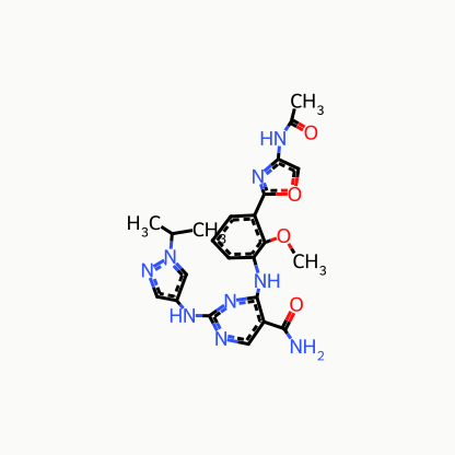 COc1c(Nc2nc(Nc3cnn(C(C)C)c3)ncc2C(N)=O)cccc1-c1nc(NC(C)=O)co1